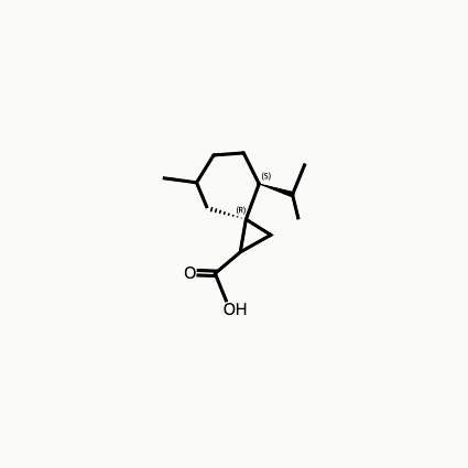 CC1CC[C@@H](C(C)C)[C@@]2(C1)CC2C(=O)O